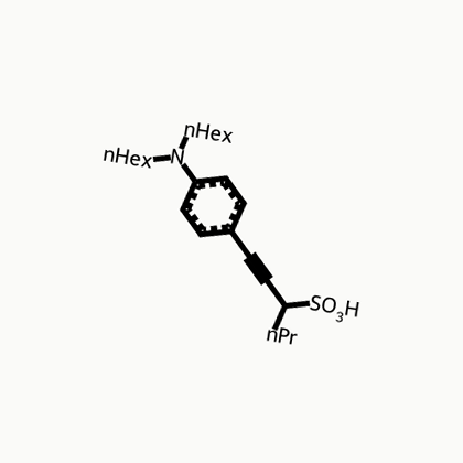 [CH2]CCC(C#Cc1ccc(N(CCCCCC)CCCCCC)cc1)S(=O)(=O)O